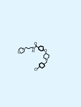 O=C(NCCCN1CCOCC1)c1ccc(OC2CCN(Cc3ccc(Cl)cc3)CC2)cc1